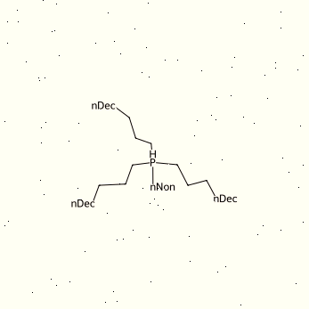 CCCCCCCCCCCCC[PH](CCCCCCCCC)(CCCCCCCCCCCCC)CCCCCCCCCCCCC